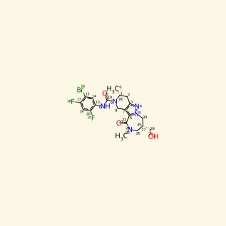 C[C@@H]1Cc2nn3c(c2CN1C(=O)Nc1cc(Br)c(F)cc1F)C(=O)N(C)C[C@@H](CO)C3